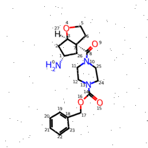 N[C@@H]1C[C@H]2OCC[C@@]2(C(=O)N2CCN(C(=O)OCc3ccccc3)CC2)C1